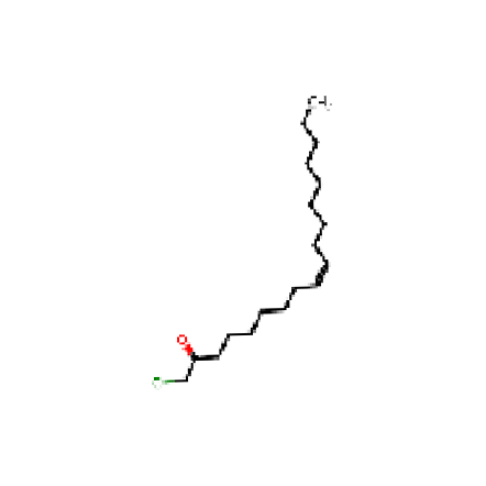 CCCCCCCC/C=C\CCCCCCC(=O)CCl